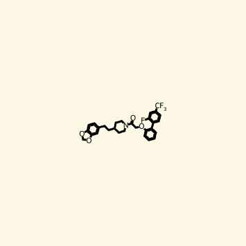 O=C(COc1ccccc1-c1ccc(C(F)(F)F)cc1F)N1CCC(CCc2ccc3c(c2)OCO3)CC1